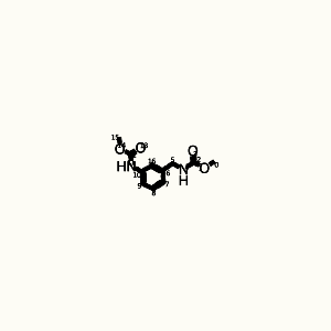 COC(=O)NCc1cccc(NC(=O)OC)c1